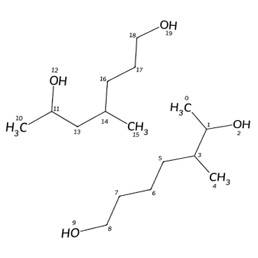 CC(O)C(C)CCCCO.CC(O)CC(C)CCCO